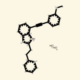 COc1cccc(C#Cc2cccc3nc(CCc4ccccn4)[nH]c23)c1.Cl.Cl